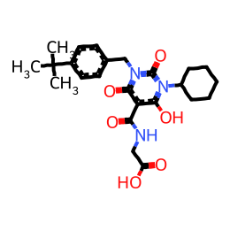 CC(C)(C)c1ccc(Cn2c(=O)c(C(=O)NCC(=O)O)c(O)n(C3CCCCC3)c2=O)cc1